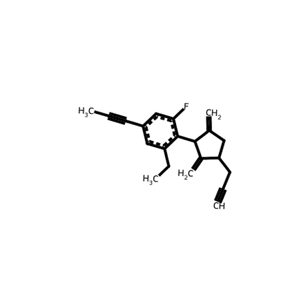 C#CCC1CC(=C)C(c2c(F)cc(C#CC)cc2CC)C1=C